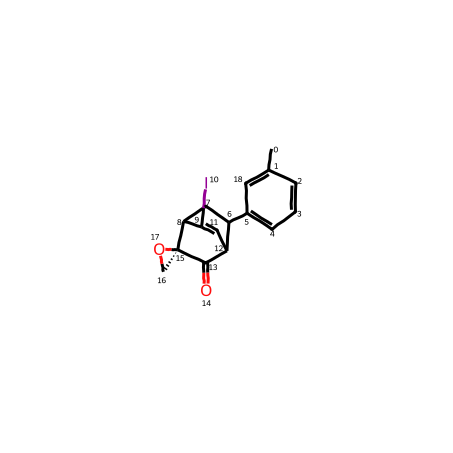 Cc1cccc(C2CC3C(I)=CC2C(=O)[C@]32CO2)c1